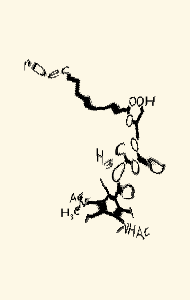 CCCCCCCCCCCCCCCCCC(=O)OC(CO)COC(=O)OC(C)OC(=O)c1c(I)c(NC(C)=O)c(I)c(N(C)C(C)=O)c1I